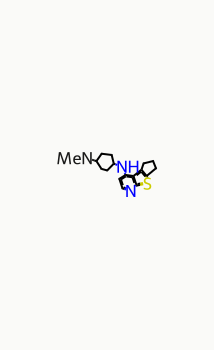 CNC1CCC(Nc2ccnc3sc4c(c23)CCC4)CC1